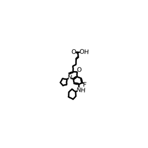 O=C(O)C=CCCc1cn(C2CCCC2)c2cc(NC3CCCCC3)c(F)cc2c1=O